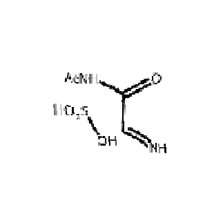 CC(=O)NC(=O)C=N.O=S(=O)(O)O